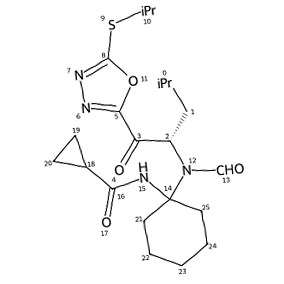 CC(C)C[C@@H](C(=O)c1nnc(SC(C)C)o1)N(C=O)C1(NC(=O)C2CC2)CCCCC1